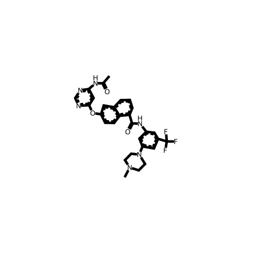 CC(=O)Nc1cc(Oc2ccc3c(C(=O)Nc4cc(N5CCN(C)CC5)cc(C(F)(F)F)c4)cccc3c2)ncn1